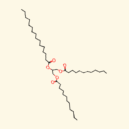 CCCCCCCCCCCCCCCC(=O)OC(COC(=O)CCCCCCCCCCC)COC(=O)CCCCCCCCCCC